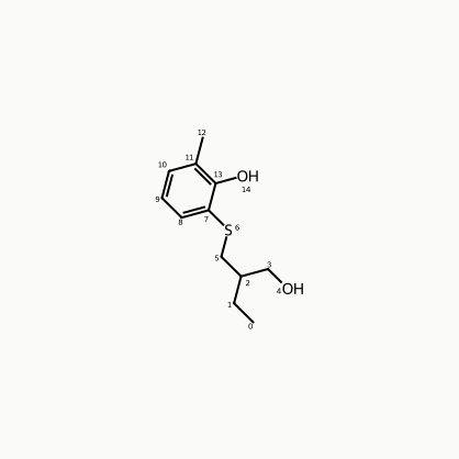 CCC(CO)CSc1cccc(C)c1O